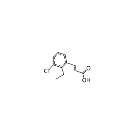 CCc1c(Cl)cccc1/C=C/C(=O)O